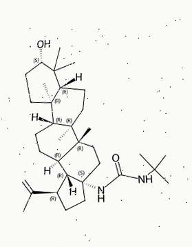 C=C(C)[C@@H]1CC[C@]2(NC(=O)NC(C)(C)C)CC[C@]3(C)[C@H](CC[C@@H]4[C@@]5(C)CC[C@H](O)C(C)(C)[C@@H]5CC[C@]43C)[C@@H]12